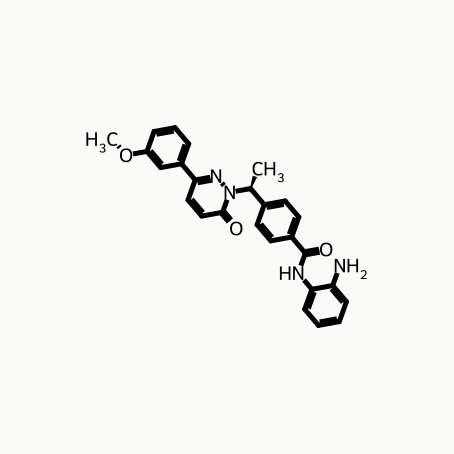 COc1cccc(-c2ccc(=O)n([C@@H](C)c3ccc(C(=O)Nc4ccccc4N)cc3)n2)c1